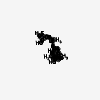 CC/C(=C(/c1ccc(O)cc1)c1ccc(OCCN(C)C(=O)CCCOCCOc2cc([C@@H](C(=O)N3C[C@H](O)C[C@H]3C3=NC(=O)[C@](C)(c4ccc(-c5scnc5C)cc4)N3)C(C)C)on2)cc1)c1ccccc1